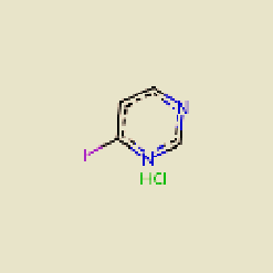 Cl.Ic1ccncn1